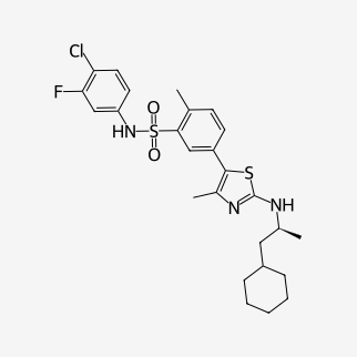 Cc1ccc(-c2sc(N[C@@H](C)CC3CCCCC3)nc2C)cc1S(=O)(=O)Nc1ccc(Cl)c(F)c1